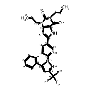 CCCn1c(=O)c2[nH]c(-c3ccc(-n4nc(C(F)(F)F)cc4-c4ccccc4)nc3)nc2n(CCC)c1=O